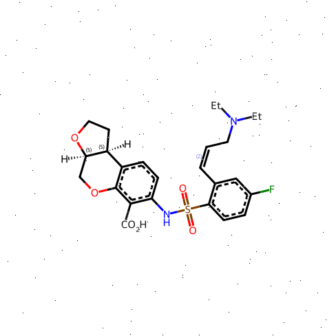 CCN(CC)C/C=C\c1cc(F)ccc1S(=O)(=O)Nc1ccc2c(c1C(=O)O)OC[C@H]1OCC[C@@H]21